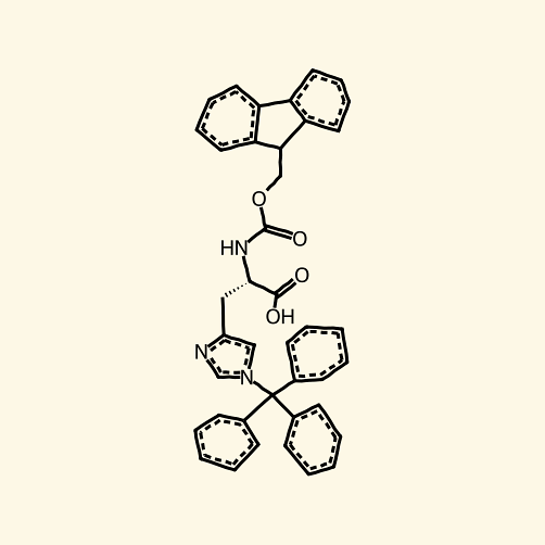 O=C(N[C@@H](Cc1cn(C(c2ccccc2)(c2ccccc2)c2ccccc2)cn1)C(=O)O)OCC1c2ccccc2-c2ccccc21